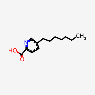 CCCCCCCc1ccc(C(=O)O)nc1